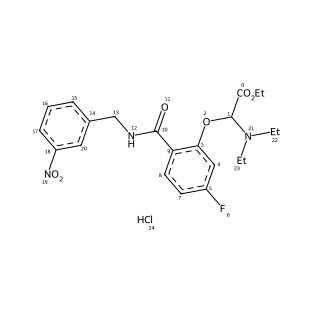 CCOC(=O)C(Oc1cc(F)ccc1C(=O)NCc1cccc([N+](=O)[O-])c1)N(CC)CC.Cl